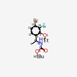 CCOc1c(C(C)NC(=O)OC(C)(C)C)ccc(Br)c1F